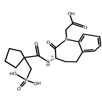 O=C(O)CN1C(=O)[C@@H](NC(=O)C2(CP(=O)(O)O)CCCC2)CCc2ccccc21